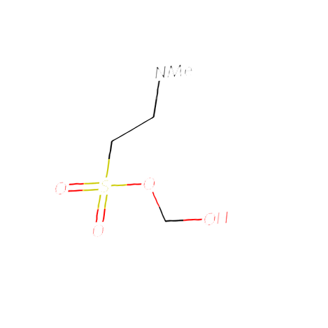 CNCCS(=O)(=O)OCO